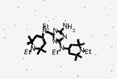 CCN(c1nc(N)nc(N(CC)C2CC(C)(C)N(CC)C(C)(C)C2)n1)C1CC(C)(C)N(CC)C(C)(C)C1